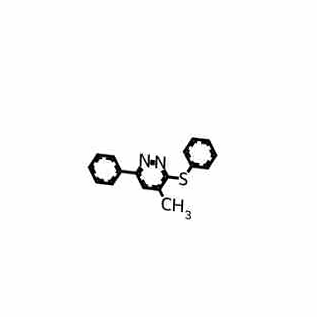 Cc1cc(-c2ccccc2)nnc1Sc1ccccc1